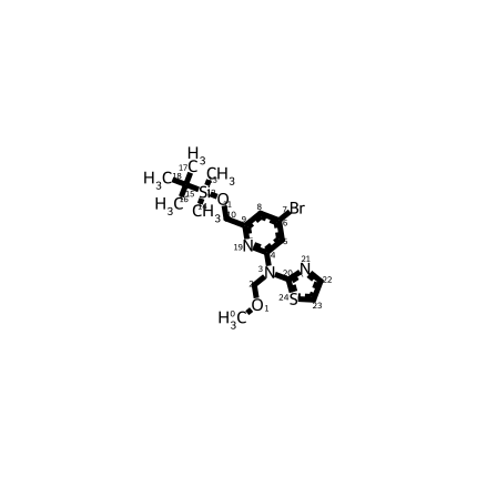 COCN(c1cc(Br)cc(CO[Si](C)(C)C(C)(C)C)n1)c1nccs1